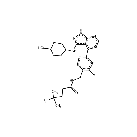 CC(C)(C)CCC(=O)NCc1ccc(-c2ccnc3[nH]nc(N[C@H]4CC[C@H](O)CC4)c23)cc1F